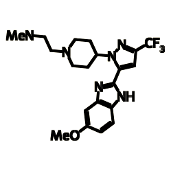 CNCCN1CCC(n2nc(C(F)(F)F)cc2-c2nc3cc(OC)ccc3[nH]2)CC1